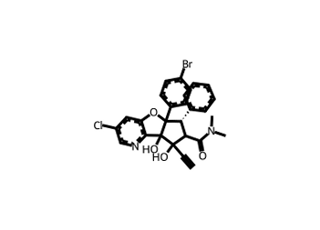 C#CC1(O)C(C(=O)N(C)C)[C@@H](c2ccccc2)C2(c3ccc(Br)cc3)Oc3cc(Cl)cnc3C12O